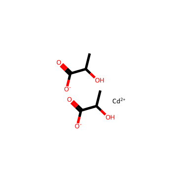 CC(O)C(=O)[O-].CC(O)C(=O)[O-].[Cd+2]